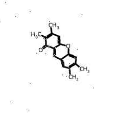 Cc1cc2cc3c(=O)c(C)c(C)cc-3oc2cc1C